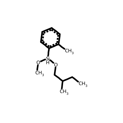 CCC(C)CO[SiH](OC)c1ccccc1C